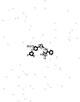 COc1cc(-c2nnc(CO/N=C(\C3=NNNN3C)c3ccccc3)o2)ccc1Oc1cc(F)cc(F)c1